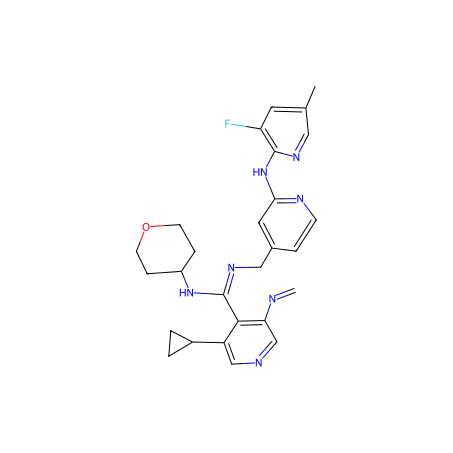 C=Nc1cncc(C2CC2)c1/C(=N\Cc1ccnc(Nc2ncc(C)cc2F)c1)NC1CCOCC1